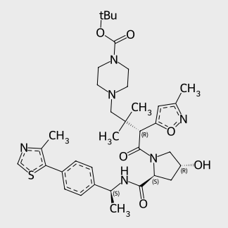 Cc1cc([C@H](C(=O)N2C[C@H](O)C[C@H]2C(=O)N[C@@H](C)c2ccc(-c3scnc3C)cc2)C(C)(C)CN2CCN(C(=O)OC(C)(C)C)CC2)on1